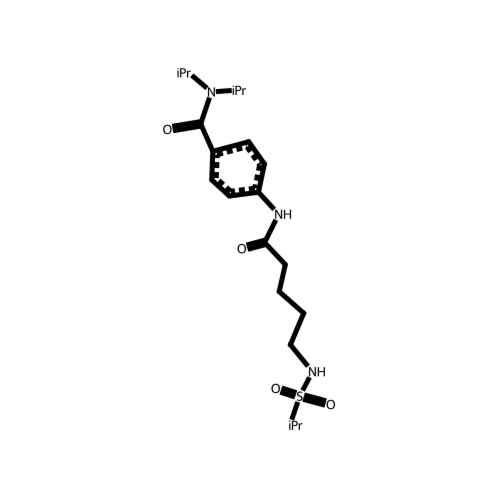 CC(C)N(C(=O)c1ccc(NC(=O)CCCCNS(=O)(=O)C(C)C)cc1)C(C)C